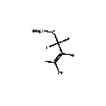 CCCCCCCOC(F)(F)C(F)=C(F)C(F)(F)F